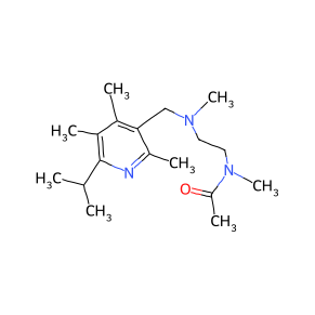 CC(=O)N(C)CCN(C)Cc1c(C)nc(C(C)C)c(C)c1C